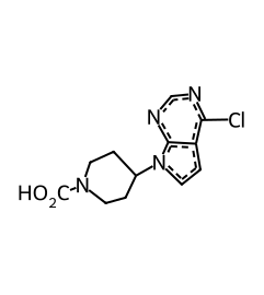 O=C(O)N1CCC(n2ccc3c(Cl)ncnc32)CC1